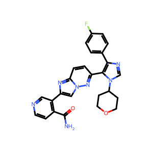 NC(=O)c1ccncc1-c1cn2nc(-c3c(-c4ccc(F)cc4)ncn3C3CCOCC3)ccc2n1